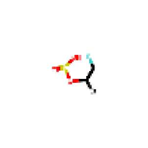 CCC(CF)OS(=O)O